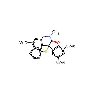 COc1cc(OC)cc(C2(Sc3ccccc3)C(=O)N(C)Cc3cc(OC)ccc32)c1